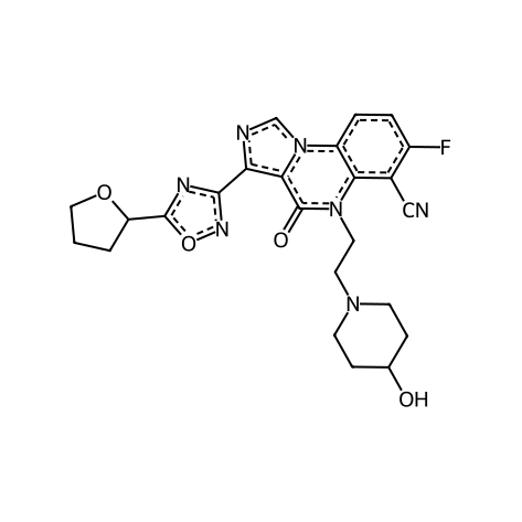 N#Cc1c(F)ccc2c1n(CCN1CCC(O)CC1)c(=O)c1c(-c3noc(C4CCCO4)n3)ncn12